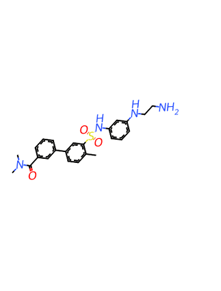 Cc1ccc(-c2cccc(C(=O)N(C)C)c2)cc1S(=O)(=O)Nc1cccc(NCCN)c1